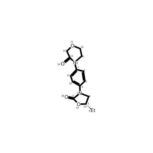 CC[C@H]1CN(c2ccc(N3CCOCC3=O)cc2)C(=O)O1